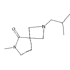 CC(C)CN1CC2(CCN(C)C2=O)C1